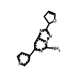 Nc1nc(-c2ccncc2)cc2nc(C3CC=CO3)nn12